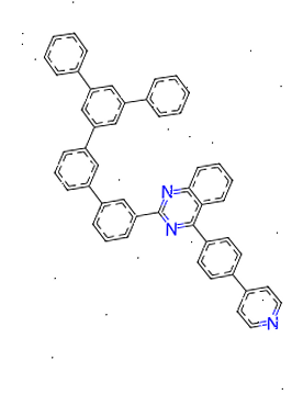 c1ccc(-c2cc(-c3ccccc3)cc(-c3cccc(-c4cccc(-c5nc(-c6ccc(-c7ccncc7)cc6)c6ccccc6n5)c4)c3)c2)cc1